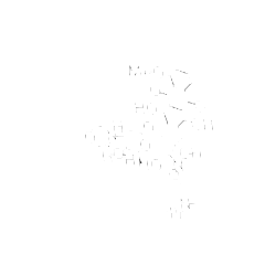 COc1cccc2c1C(=O)c1c(O)c3c(c(O)c1C2=O)C[C@@](O)(/C(CO)=N/OCCN(C)C(C)C)C[C@@H]3O[C@H]1C[C@H]2[C@H](O[C@@H]3COCCN32)[C@H](C)O1